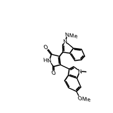 CNn1cc(C2=C(c3cn(C)c4cc(OC)ccc34)C(=O)NC2=O)c2ccccc21